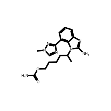 CC(CCCCOC(N)=O)n1c(N)nc2cccc(-c3ncn(C)n3)c21